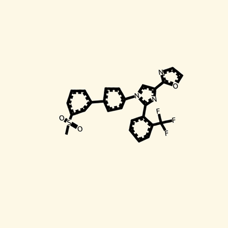 CS(=O)(=O)c1cccc(-c2ccc(-n3cc(-c4ncco4)nc3-c3ccccc3C(F)(F)F)cc2)c1